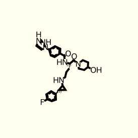 O=C(N[C@@H](CCCNC1C[C@H]1c1ccc(F)cc1)C(=O)N1CCC(O)CC1)c1ccc(N2C=CNN2)cc1